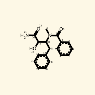 CN(C(=O)c1ccccc1)C(Cc1ccccc1)C(O)C(N)=O